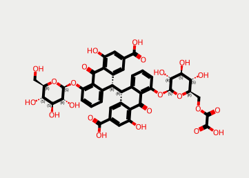 O=C(O)C(=O)OC[C@H]1O[C@@H](Oc2cccc3c2C(=O)c2c(O)cc(C(=O)O)cc2[C@@H]3[C@H]2c3cc(C(=O)O)cc(O)c3C(=O)c3c(O[C@@H]4O[C@H](CO)[C@@H](O)[C@H](O)[C@H]4O)cccc32)[C@H](O)[C@@H](O)[C@@H]1O